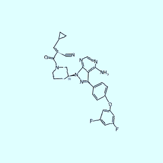 N#CC(=CC1CC1)C(=O)N1CCC[C@H](n2nc(-c3ccc(Oc4cc(F)cc(F)c4)cc3)c3c(N)ncnc32)C1